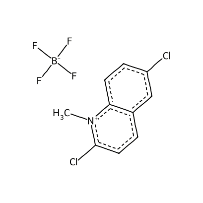 C[n+]1c(Cl)ccc2cc(Cl)ccc21.F[B-](F)(F)F